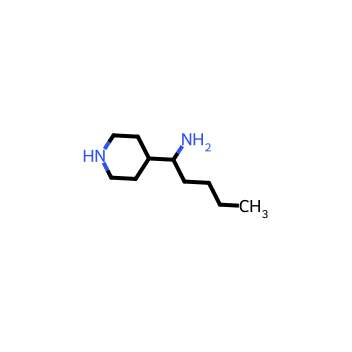 CCCCC(N)C1CCNCC1